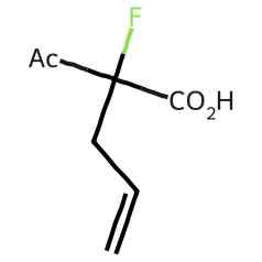 C=CCC(F)(C(C)=O)C(=O)O